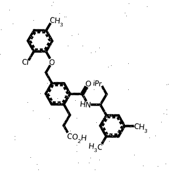 Cc1cc(C)cc(C(CC(C)C)NC(=O)c2cc(COc3cc(C)ccc3Cl)ccc2CCC(=O)O)c1